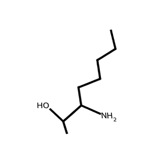 CCCCCC(N)C(C)O